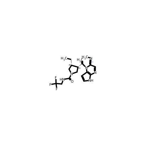 C=C([C@@H]1CN(C(=O)NCC(F)(F)F)C[C@@H]1CC)n1/c(=N\C)cnc2[nH]ccc21